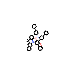 CC1(C)c2cc3ccccc3cc2N2c3cc4c(oc5ccccc54)c4c3B(c3cccc1c32)N(c1ccc(-c2ccccc2)cc1)c1cc(-c2ccccc2)ccc1-4